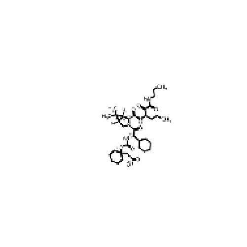 CCCNC(=O)C(=O)C(CCC)NC(=O)[C@@H]1[C@@H]2[C@H](CN1C(=O)[C@@H](NC(=O)NC1(C[SH](=O)=O)CCCCC1)C1CCCCC1)C2(C)C